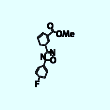 COC(=O)C1=CC(c2noc(-c3ccc(F)cc3)n2)CC=C1